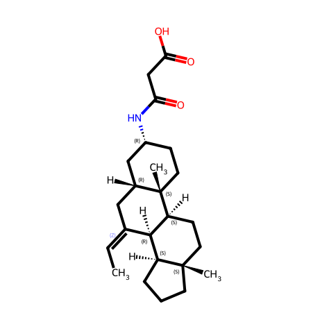 C/C=C1/C[C@@H]2C[C@H](NC(=O)CC(=O)O)CC[C@]2(C)[C@H]2CC[C@]3(C)CCC[C@H]3[C@@H]12